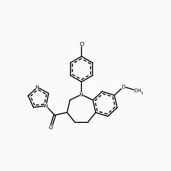 COc1ccc2c(c1)N(c1ccc(Cl)cc1)CC(C(=O)n1ccnc1)CC2